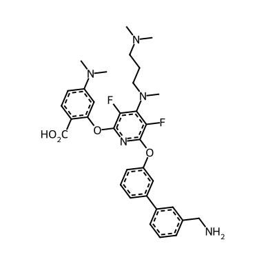 CN(C)CCCN(C)c1c(F)c(Oc2cccc(-c3cccc(CN)c3)c2)nc(Oc2cc(N(C)C)ccc2C(=O)O)c1F